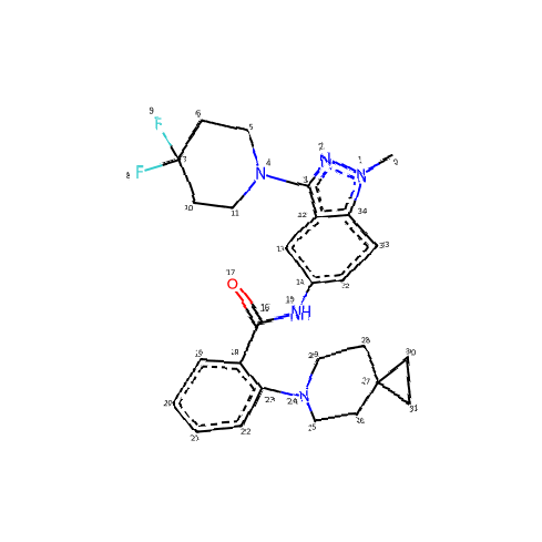 Cn1nc(N2CCC(F)(F)CC2)c2cc(NC(=O)c3ccccc3N3CCC4(CC3)CC4)ccc21